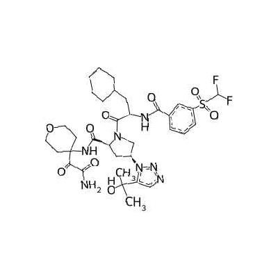 CC(C)(O)c1cnnn1[C@H]1C[C@@H](C(=O)NC2(C(=O)C(N)=O)CCOCC2)N(C(=O)C(CC2CCCCC2)NC(=O)c2cccc(S(=O)(=O)C(F)F)c2)C1